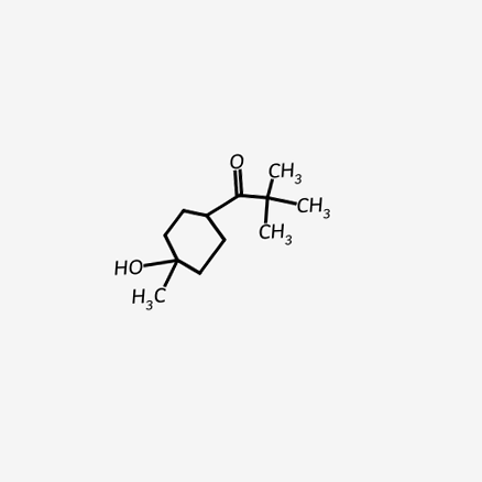 CC1(O)CCC(C(=O)C(C)(C)C)CC1